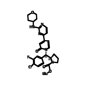 CC(C)(C)OC(=O)N1CCC[C@@H]1[C@H](c1ccc(Cl)c(F)c1)n1ccc(-c2ccnc(NC3CCOCC3)n2)cc1=O